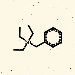 C[CH2][Sn]([CH2]C)([CH2]C)[CH2]c1ccccc1